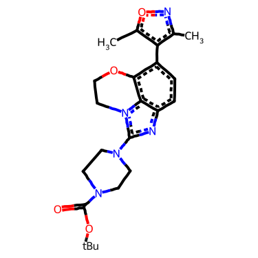 Cc1noc(C)c1-c1ccc2nc(N3CCN(C(=O)OC(C)(C)C)CC3)n3c2c1OCC3